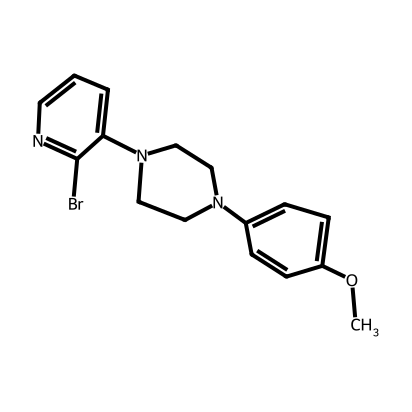 COc1ccc(N2CCN(c3cccnc3Br)CC2)cc1